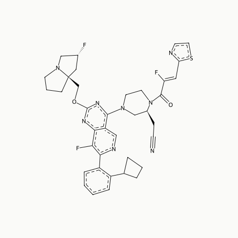 N#CC[C@H]1CN(c2nc(OC[C@@]34CCCN3C[C@H](F)C4)nc3c(F)c(-c4ccccc4C4CCC4)ncc23)CCN1C(=O)/C(F)=C/c1nccs1